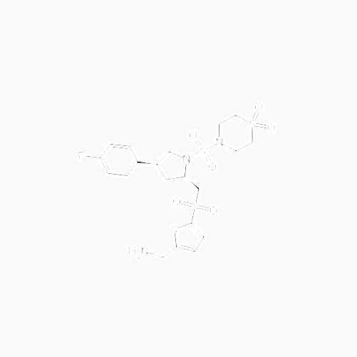 NCc1ccc(S(=O)(=O)C[C@H]2C[C@@H](c3ccc(F)cc3)CN2S(=O)(=O)N2CCS(=O)(=O)CC2)s1